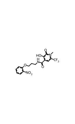 Cn1c(C(F)(F)F)cc(C(=O)NCCCOc2ccccc2[N+](=O)[O-])c(O)c1=O